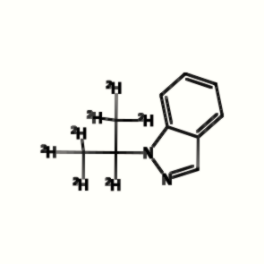 [2H]C([2H])([2H])C([2H])(n1ncc2ccccc21)C([2H])([2H])[2H]